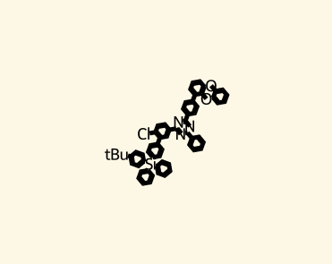 CC(C)(C)c1ccc([Si](c2ccccc2)(c2ccccc2)c2ccc(-c3cc(-c4nc(-c5ccccc5)nc(-c5ccc(-c6cccc7c6Oc6ccccc6O7)cc5)n4)ccc3Cl)cc2)cc1